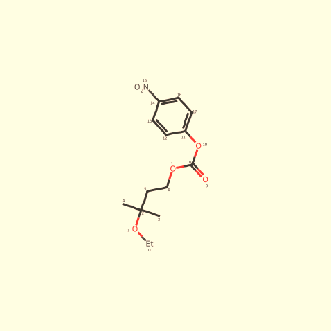 CCOC(C)(C)CCOC(=O)Oc1ccc([N+](=O)[O-])cc1